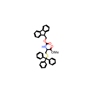 COC(=O)C(CSC(c1ccccc1)(c1ccccc1)c1ccccc1)NC(=O)OCC1c2ccccc2-c2ccccc21